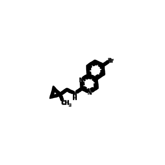 CC1(CNc2ncc3cc(Br)ccc3n2)CC1